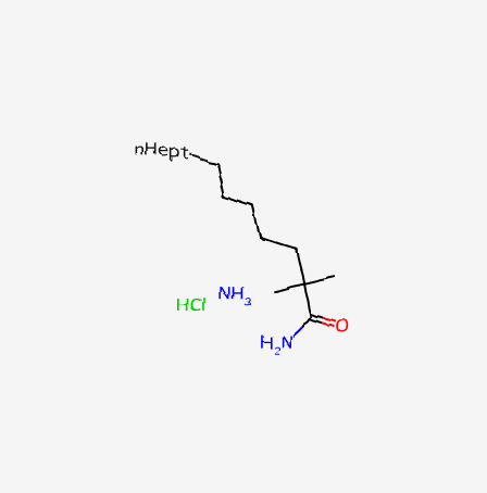 CCCCCCCCCCCCC(C)(C)C(N)=O.Cl.N